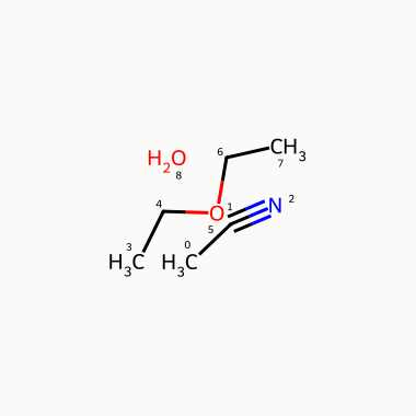 CC#N.CCOCC.O